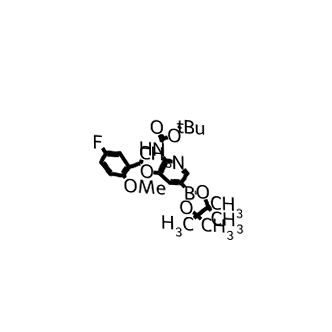 COc1ccc(F)cc1C(C)Oc1cc(B2OC(C)(C)C(C)(C)O2)cnc1NC(=O)OC(C)(C)C